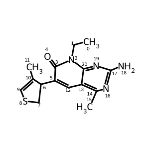 CCn1c(=O)c(C2CSC=C2C)cc2c(C)nc(N)nc21